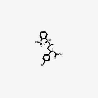 CN(CC(NC(=O)O)c1ccc(Br)cc1)S(=O)(=O)c1ccccc1[N+](=O)[O-]